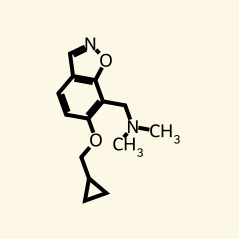 CN(C)Cc1c(OCC2CC2)ccc2cnoc12